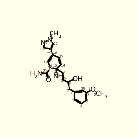 COc1cccc(CC(O)CC[C@@]2(N)C=CC(c3cnn(C)c3)=CN2C(N)=O)c1